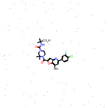 CC(C)(NC(=O)N1CCN(C(=O)c2cc3nc(-c4ccc(Cl)c(F)c4)cc(C(C)(C)C)c3o2)C(C)(C)C1)C(=O)O